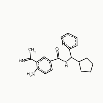 CC(=N)c1cc(C(=O)NC(c2ccccn2)C2CCCC2)ccc1N